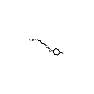 [CH2]CCCCCCCCCCCOC1CCC([O])CC1